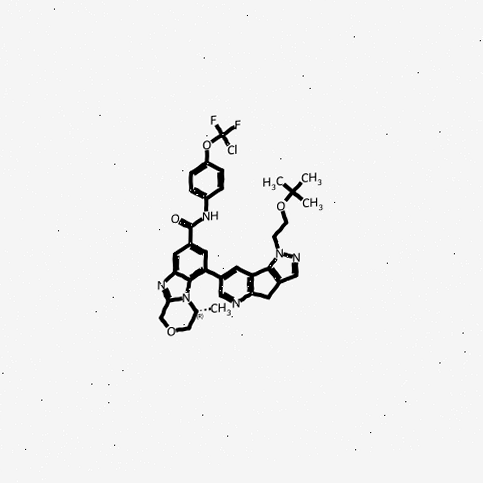 C[C@@H]1COCc2nc3cc(C(=O)Nc4ccc(OC(F)(F)Cl)cc4)cc(-c4cnc5c(c4)-c4c(cnn4CCOC(C)(C)C)C5)c3n21